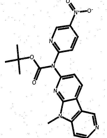 Cn1c2ccncc2c2ccc(N(C(=O)OC(C)(C)C)c3ccc([N+](=O)[O-])cn3)nc21